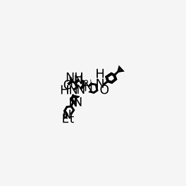 CCN1CCC(n2cc(Nc3nc(N4CCC[C@@H](NC(=O)c5ccc(C6CC6)cc5)[C@H]4C)cnc3C(N)=O)cn2)CC1